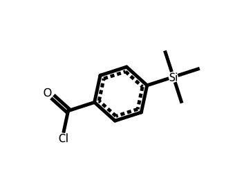 C[Si](C)(C)c1ccc(C(=O)Cl)cc1